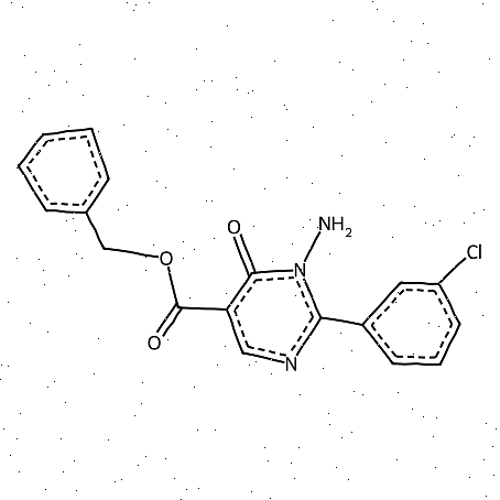 Nn1c(-c2cccc(Cl)c2)ncc(C(=O)OCc2ccccc2)c1=O